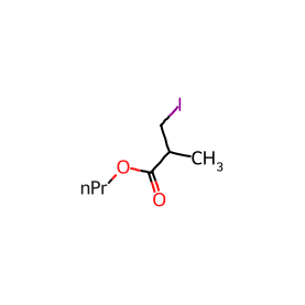 CCCOC(=O)C(C)CI